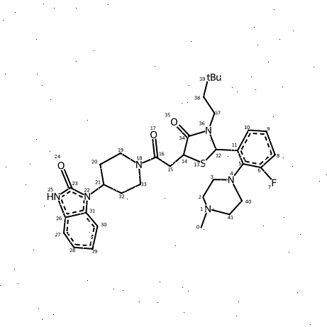 CN1CCN(c2c(F)cccc2C2SC(CC(=O)N3CCC(n4c(=O)[nH]c5ccccc54)CC3)C(=O)N2CCC(C)(C)C)CC1